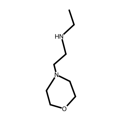 CCNCCN1CCOCC1